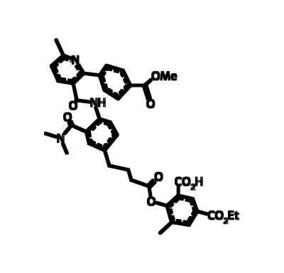 CCOC(=O)c1cc(C)c(OC(=O)CCCc2ccc(NC(=O)c3ccc(C)nc3-c3ccc(C(=O)OC)cc3)c(C(=O)N(C)C)c2)c(C(=O)O)c1